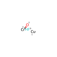 F.[Cu].[O]=[Cr]